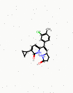 Cc1ccc(/C(=C/[C@H]2CCC(=O)N2)c2ccc(C3CC3)c(=O)[nH]2)cc1Cl